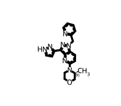 C[C@@H]1COCCN1c1ccc2c(n1)c(-c1cc[nH]n1)nn2Cc1ccccn1